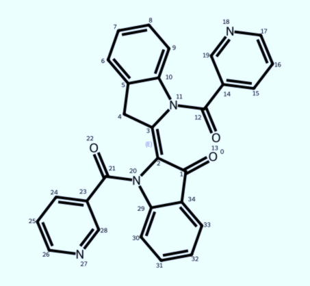 O=C1/C(=C2/Cc3ccccc3N2C(=O)c2cccnc2)N(C(=O)c2cccnc2)c2ccccc21